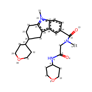 CCN(CC(=O)NC1CCOCC1)C(=O)c1ccc2c(c1)c1c(n2C)CCC(C2CCOCC2)C1